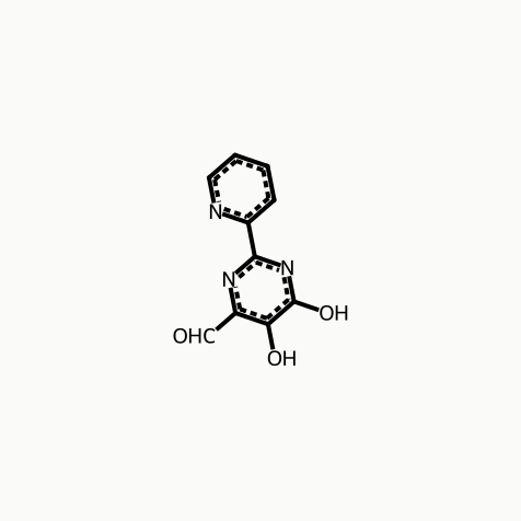 O=Cc1nc(-c2ccccn2)nc(O)c1O